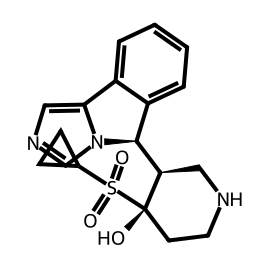 O=S(=O)(C1CC1)[C@@]1(O)CCNC[C@@H]1[C@@H]1c2ccccc2-c2cncn21